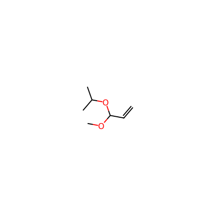 C=CC(OC)OC(C)C